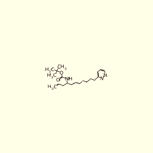 C=CCC(CCCCCCCc1cccnn1)NC(=O)OC(C)(C)C